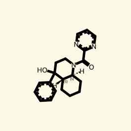 O=C(c1ncccn1)N1CCC(O)(c2ccccc2)[C@H]2CCCC[C@@H]21